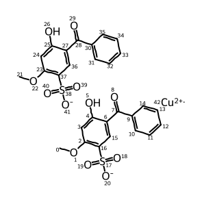 COc1cc(O)c(C(=O)c2ccccc2)cc1S(=O)(=O)[O-].COc1cc(O)c(C(=O)c2ccccc2)cc1S(=O)(=O)[O-].[Cu+2]